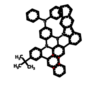 CC(C)(C)c1ccc(N2c3ccc(N(c4ccccc4)c4ccccc4)cc3B3c4c(cc(-c5ccccc5)cc42)-c2cccc4c5cc6ccccc6cc5n3c24)c(-c2ccccc2)c1